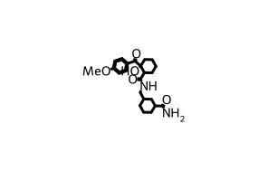 COc1ccc(C(=O)C2(O)CCCCC2C(=O)NCC2CCCC(C(N)=O)C2)cc1